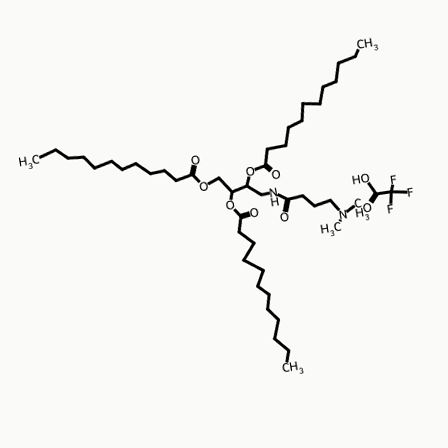 CCCCCCCCCCCC(=O)OCC(OC(=O)CCCCCCCCCCC)C(CNC(=O)CCCN(C)C)OC(=O)CCCCCCCCCCC.O=C(O)C(F)(F)F